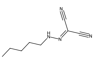 CCCCCNN=C(C#N)C#N